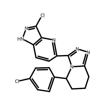 Clc1ccc(C2CCCc3nnc(-c4ccc5[nH]nc(Cl)c5n4)n32)cc1